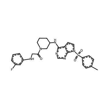 Cc1ccc(S(=O)(=O)n2ccc3c(NC4CCCN(C(=O)CNc5cccc(F)c5)C4)ncnc32)cc1